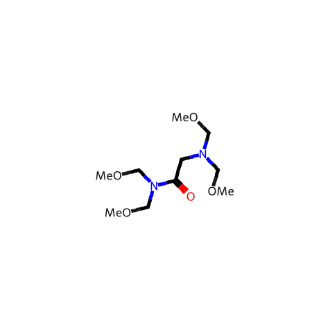 COCN(COC)CC(=O)N(COC)COC